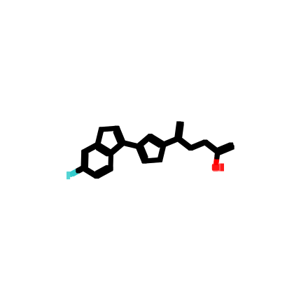 C=C(O)CCC(=C)C1=CC(C2=CCc3cc(F)ccc32)=CC1